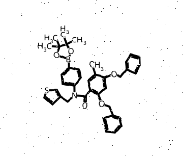 Cc1cc(C(=O)N(Cc2ccsc2)c2ccc(B3OC(C)(C)C(C)(C)O3)cc2)c(OCc2ccccc2)cc1OCc1ccccc1